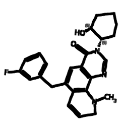 CN1CC=Cc2c(Cc3cccc(F)c3)cc3c(=O)n([C@H]4CCCC[C@@H]4O)cnc3c21